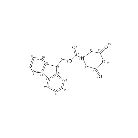 O=C1CN(C(=O)OCC2c3ccccc3-c3ccccc32)CC(=O)O1